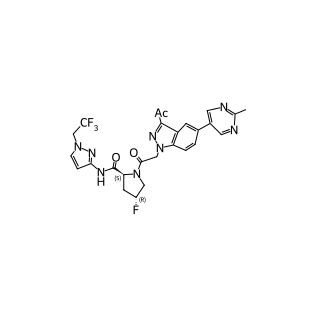 CC(=O)c1nn(CC(=O)N2C[C@H](F)C[C@H]2C(=O)Nc2ccn(CC(F)(F)F)n2)c2ccc(-c3cnc(C)nc3)cc12